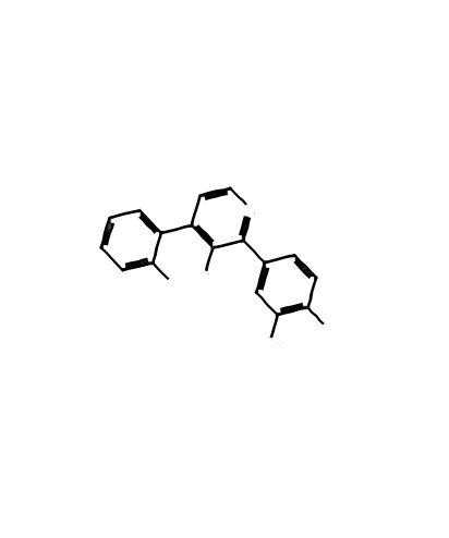 COc1cc(-c2nccc(-c3cc[c]cc3Cl)c2Cl)ccc1C=O